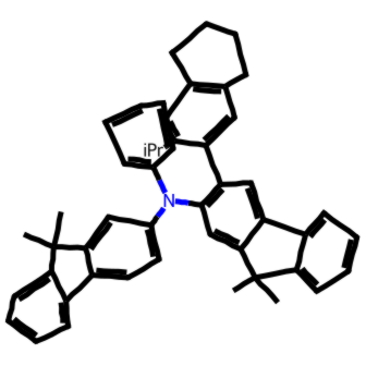 CC(C)c1cc2c(cc1-c1cc3c(cc1N(c1ccccc1)c1ccc4c(c1)C(C)(C)c1ccccc1-4)C(C)(C)c1ccccc1-3)CCCC2